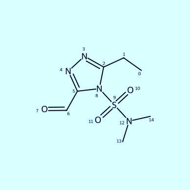 CCc1nnc(C=O)n1S(=O)(=O)N(C)C